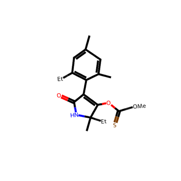 CCc1cc(C)cc(C)c1C1=C(OC(=S)OC)C(C)(CC)NC1=O